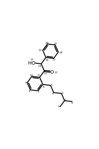 CC(C)CCCc1ccccc1C(=O)C(O)c1ccccc1